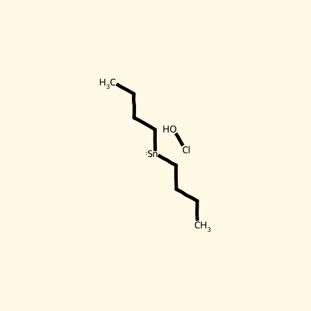 CCC[CH2][Sn][CH2]CCC.OCl